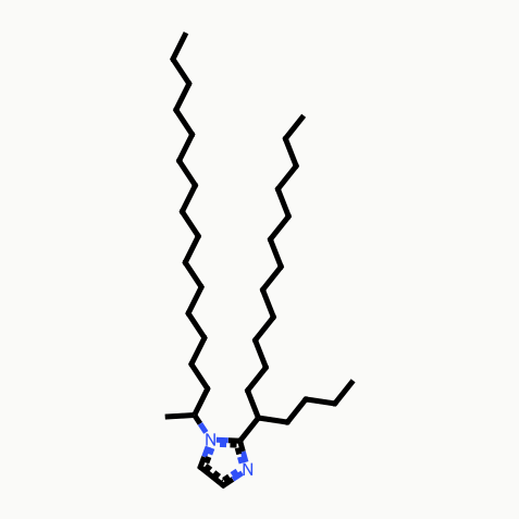 CCCCCCCCCCCCCCCC(C)n1ccnc1C(CCCC)CCCCCCCCCCCC